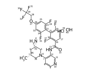 C[C@@H]1C[C@H](N)CN(c2ccncc2NC(=O)c2ccc(F)c(-c3c(F)cc(OCC(F)(F)F)cc3F)c2F)C1.Cl.Cl